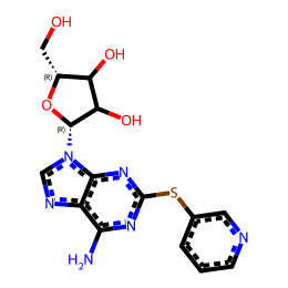 Nc1nc(Sc2cccnc2)nc2c1ncn2[C@@H]1O[C@H](CO)C(O)C1O